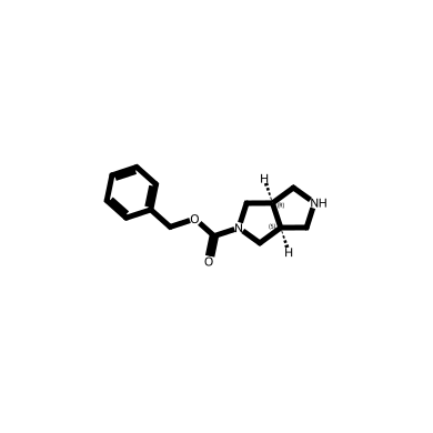 O=C(OCc1ccccc1)N1C[C@H]2CNC[C@H]2C1